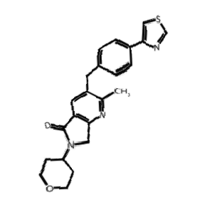 Cc1nc2c(cc1Cc1ccc(-c3cscn3)cc1)C(=O)N(C1CCOCC1)C2